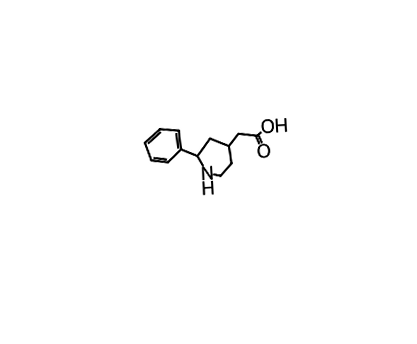 O=C(O)CC1CCNC(c2ccccc2)C1